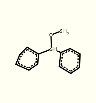 [SiH3]O[SiH](c1ccccc1)c1ccccc1